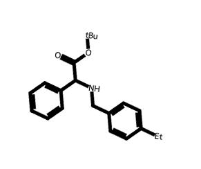 CCc1ccc(CNC(C(=O)OC(C)(C)C)c2ccccc2)cc1